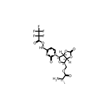 C[C@H](N)C(=O)OC[C@H]1O[C@@H](n2ccc(NOC(=O)C(F)(F)C(F)(F)F)nc2=O)[C@@H]2OC(=O)O[C@@H]21